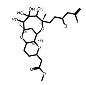 C=C(I)CC(Cl)CC[C@]1(C)OC2C[C@@H](OC3CCC(CC(=O)OC)O[C@@H]32)C(O)C(O)(O)C1O